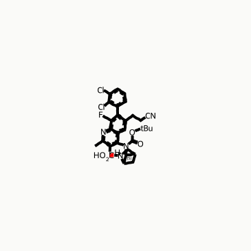 Cc1nc2c(F)c(-c3cccc(Cl)c3Cl)c(CCC#N)cc2c(N(C(=O)OC(C)(C)C)[C@H]2C3CC2N(C(=O)O)C3)c1I